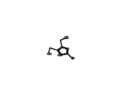 CC(C)c1nc(CO)c(CO)[nH]1